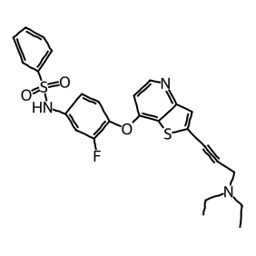 CCN(CC)CC#Cc1cc2nccc(Oc3ccc(NS(=O)(=O)c4ccccc4)cc3F)c2s1